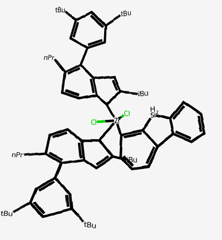 CCCc1ccc2c(c1-c1cc(C(C)(C)C)cc(C(C)(C)C)c1)C=C(C(C)CC)[CH]2[Zr]([Cl])([Cl])([c]1cccc2c1[SiH2]c1ccccc1-2)[CH]1C(C(C)CC)=Cc2c1ccc(CCC)c2-c1cc(C(C)(C)C)cc(C(C)(C)C)c1